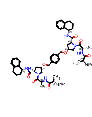 CN[C@@H](C)C(=O)N[C@H](C(=O)N1C[C@@H](OCc2ccc(CO[C@H]3C[C@@H](C(=O)N[C@@H]4CCCc5ccccc54)N(C(=O)[C@@H](NC(=O)[C@H](C)NC)C(C)(C)C)C3)cc2)C[C@H]1C(=O)N[C@@H]1CCCc2ccccc21)C(C)(C)C